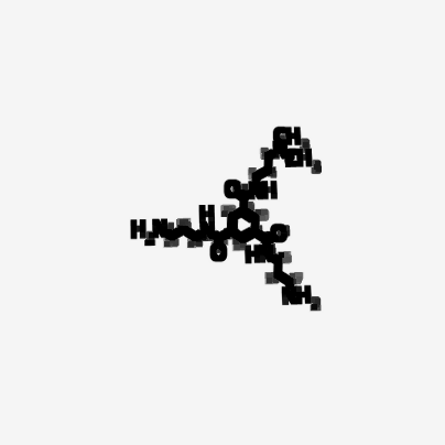 CN(C)CCCNC(=O)c1cc(C(=O)NCCCN)cc(C(=O)NCCCN)c1